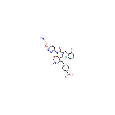 CN(C)Cc1c(-c2ccc([N+](=O)[O-])cc2)sc2c1c(=O)n(-c1ccc(OCC#N)nn1)c(=O)n2Cc1c(F)cccc1F